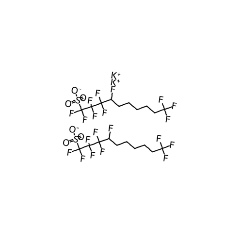 O=S(=O)([O-])C(F)(F)C(F)(F)C(F)(F)C(F)CCCCCC(F)(F)F.O=S(=O)([O-])C(F)(F)C(F)(F)C(F)(F)C(F)CCCCCC(F)(F)F.[K+].[K+]